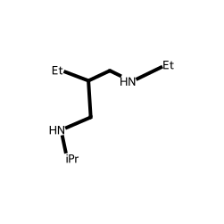 CCNCC(CC)CNC(C)C